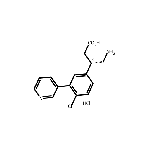 Cl.NC[C@@H](CC(=O)O)c1ccc(Cl)c(-c2cccnc2)c1